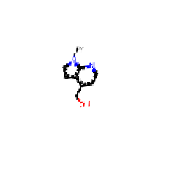 CC(C)n1ccc2c(CO)ccnc21